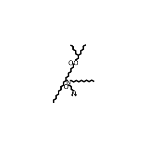 CCCCCCCCCCC(CCCCCCC(=O)OCCC(CCCCC)CCCCC)N(CCCCCCCCCC)C(=O)CCCN(C)C